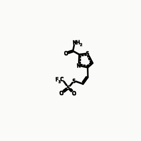 NC(=O)c1nc(/C=C\SS(=O)(=O)C(F)(F)F)cs1